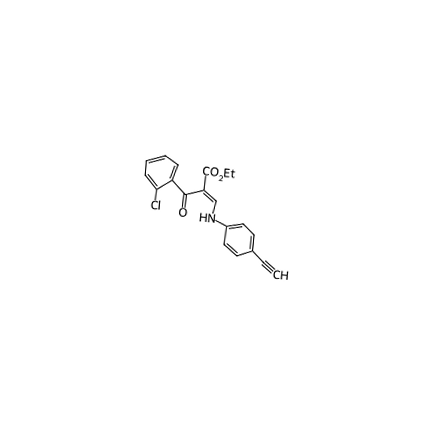 C#Cc1ccc(N/C=C(/C(=O)OCC)C(=O)c2ccccc2Cl)cc1